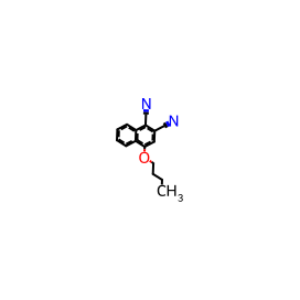 CCCCOc1cc(C#N)c(C#N)c2ccccc12